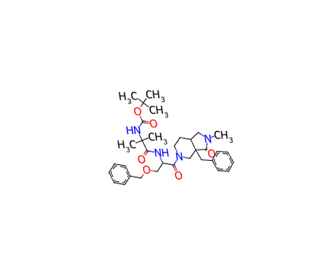 CN1CC2CCN(C(=O)C(COCc3ccccc3)NC(=O)C(C)(C)NC(=O)OC(C)(C)C)CC2(Cc2ccccc2)C1=O